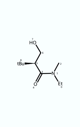 CCN(C)C(=O)[C@H](CO)C(C)(C)C